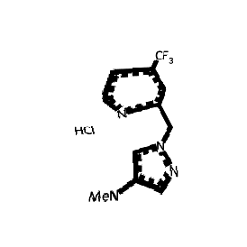 CNc1cnn(Cc2cc(C(F)(F)F)ccn2)c1.Cl